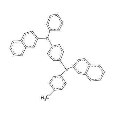 Cc1ccc(N(c2ccc(N(c3ccccc3)c3ccc4ccccc4c3)cc2)c2ccc3ccccc3c2)cc1